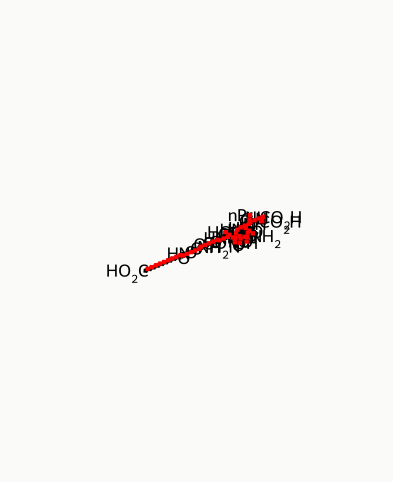 CCCNC(=O)[C@H](CCCCN(CC(=O)O)CC(=O)O)NC(=O)[C@H](Cc1c[nH]cn1)NC(=O)[C@H](CCC(N)=O)NC(=O)[C@H](CO)NC(=O)[C@H](CO)NC(=O)[C@H](CCC(N)=O)NC(=O)[C@@H](CO)NC(=O)CNC(=O)COCCOCCNC(=O)COCCOCCNC(=O)CCCCCCCCCCCCCCCCCCC(=O)O